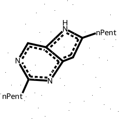 CCCCCc1ncc2[nH]c(CCCCC)cc2n1